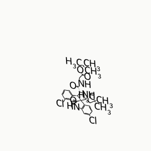 CC(C)(C)C[C@@H]1N[C@@H](C(=O)NCC(=O)OC(C)(C)C)[C@H](c2cccc(Cl)c2F)[C@]12C(=O)Nc1cc(Cl)ccc12